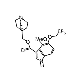 COc1c(OCC(F)(F)F)ccc2[nH]cc(C(=O)OCC34CCN(CC3)CC4)c12